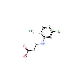 Cl.O=C(O)CCNc1cccc(Cl)c1